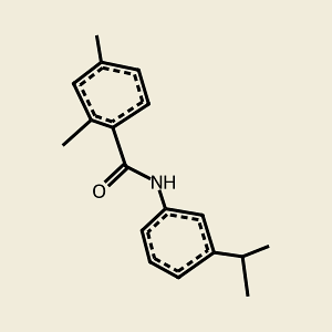 Cc1ccc(C(=O)Nc2cccc(C(C)C)c2)c(C)c1